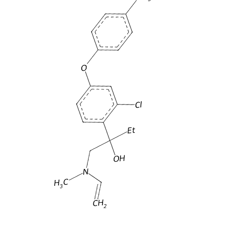 C=CN(C)CC(O)(CC)c1ccc(Oc2ccc(C)cc2)cc1Cl